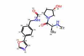 CCN[C@H](C(=O)N1C[C@H](O)C[C@H]1C(=O)NCc1ccc(-c2cnco2)cc1)C(C)(C)C